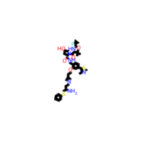 Cc1ncsc1-c1ccc(CNC(=O)[C@@H]2C[C@@H](O)CN2C(=O)C(NC(=O)C2(F)CC2)C(C)(C)C)c(OCCC2CN(CCC(N)CSc3ccccc3)C2)c1